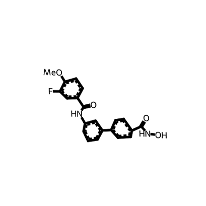 COc1ccc(C(=O)Nc2cccc(-c3ccc(C(=O)NO)cc3)c2)cc1F